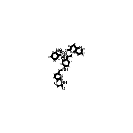 O=C1COc2ccc(CNC3CCC(C(Cn4c(=O)ccc5ncc(F)cc54)NS(=O)(=O)c4ccccc4[N+](=O)[O-])CC3)nc2N1